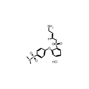 CN(C)S(=O)(=O)c1ccc(Oc2ccccc2S(=O)(=O)CC(F)=CCN)cc1.Cl